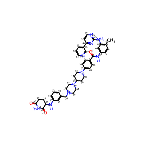 Cc1ccc(NC(=O)c2ccc(N3CCC(N4CCN(Cc5cccc(NC6CCC(=O)NC6=O)c5)CC4)CC3)cc2)cc1Nc1nccc(-c2cccnc2)n1